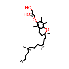 Cc1c(C)c2c(c(C)c1OC[C@@H](O)CO)CC[C@@](C)(CCC[C@H](C)CCC[C@H](C)CCCC(C)C)O2